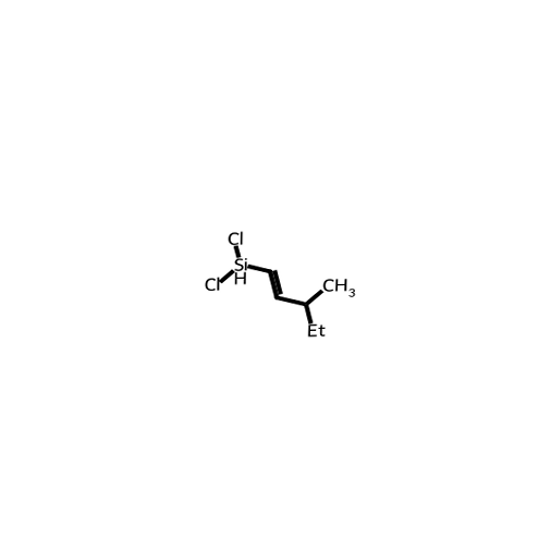 CCC(C)C=C[SiH](Cl)Cl